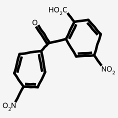 O=C(O)c1ccc([N+](=O)[O-])cc1C(=O)c1ccc([N+](=O)[O-])cc1